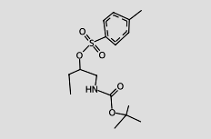 CCC(CNC(=O)OC(C)(C)C)OS(=O)(=O)c1ccc(C)cc1